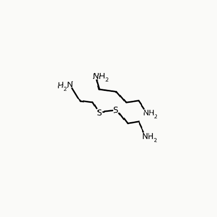 NCCCCN.NCCSSCCN